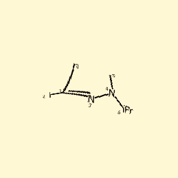 C/C(I)=N\N(C)C(C)C